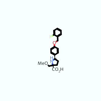 COC[C@@]1(C(=O)O)CC[C@H](c2ccc(OCc3ccccc3F)cc2)N1